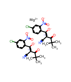 CC(C)(C)C(=O)/C(C#N)=C(\[O-])c1ccc(Cl)cc1[N+](=O)[O-].CC(C)(C)C(=O)/C(C#N)=C(\[O-])c1ccc(Cl)cc1[N+](=O)[O-].[Mg+2]